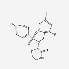 O=C1NCCCC1N(Cc1ccc(F)cc1F)S(=O)(=O)c1ccc(Cl)cc1